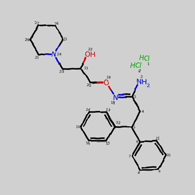 Cl.Cl.NC(CC(c1ccccc1)c1ccccc1)=NOCC(O)CN1CCCCC1